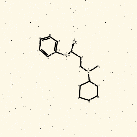 CC[C@@H](CCN(C)C1CCCCC1)Nc1ccccc1